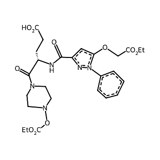 CCOC(=O)COc1cc(C(=O)N[C@@H](CCC(=O)O)C(=O)N2CCN(OC(=O)OCC)CC2)nn1-c1ccccc1